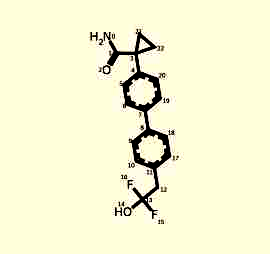 NC(=O)C1(c2ccc(-c3ccc(CC(O)(F)F)cc3)cc2)CC1